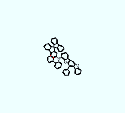 c1ccc(-c2ccccc2N(c2ccc3c(c2)C2(c4ccccc4-c4ccccc42)c2ccccc2-3)c2cccc3c2oc2c(-c4ccccc4)c4c(cc23)oc2ccccc24)cc1